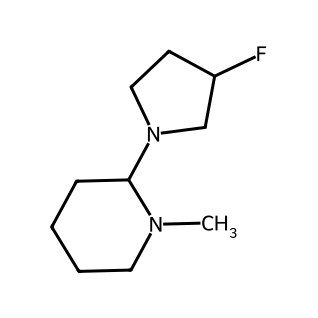 CN1CCCCC1N1CCC(F)C1